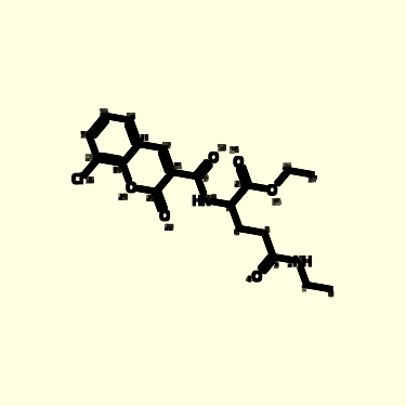 CCNC(=O)CCC(NC(=O)c1cc2cccc(Cl)c2oc1=O)C(=O)OCC